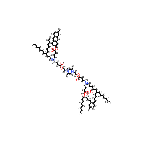 CCCCCCCC(CCCCCCC)CCCN(CCCC(=O)OCCN1CC(C)N(CCOC(=O)CCCN(CCCC(=O)CC(CCCCCCC)CCCCCCC)CCCC(=O)OC(CCCCCCC)CCCCCCC)CC1C)CCCC(=O)OC(CCCCCCC)CCCCCCC